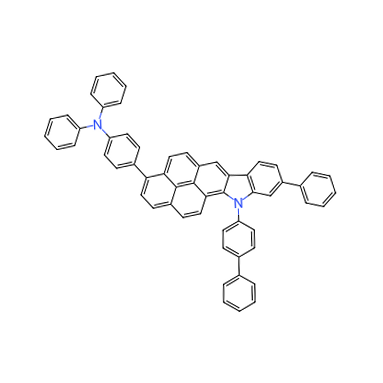 c1ccc(-c2ccc(-n3c4cc(-c5ccccc5)ccc4c4cc5ccc6c(-c7ccc(N(c8ccccc8)c8ccccc8)cc7)ccc7ccc(c5c76)c43)cc2)cc1